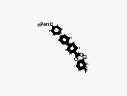 CCCCC[C@H]1CC[C@H](c2ccc(-c3ccc(C(=O)Oc4ccc(F)cc4Cl)cc3)cc2)CC1